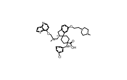 C[C@@H](COc1ccnc2ccsc12)C[C@H]1Cc2ccc(OCCN3CCN(C)CC3)cc2C12CCC(Nc1cccc(Cl)c1)(C(=O)O)CC2